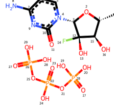 C[C@H]1O[C@@H](n2ccc(N)nc2=O)[C@@](O)(F)[C@@H]1O.O=P(O)(O)OP(=O)(O)OP(=O)(O)O